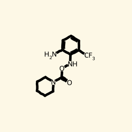 Nc1cccc(C(F)(F)F)c1NOC(=O)N1CCCCC1